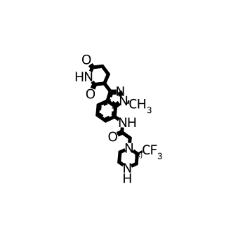 Cn1nc(C2CCC(=O)NC2=O)c2cccc(NC(=O)CN3CCNC[C@@H]3C(F)(F)F)c21